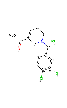 COC(=O)C1=CCCN(Cc2ccc(Cl)c(Cl)c2)C1.Cl